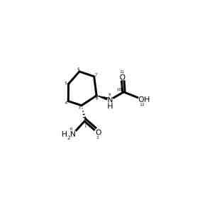 NC(=O)[C@@H]1CCCC[C@H]1NC(=O)O